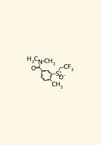 Cc1ccc(C(=O)N(C)C)cc1[S+]([O-])CC(F)(F)F